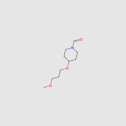 COCCCOC1CCN([C]=O)CC1